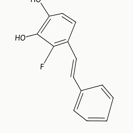 Oc1ccc(C=Cc2ccccc2)c(F)c1O